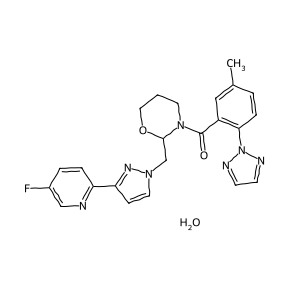 Cc1ccc(-n2nccn2)c(C(=O)N2CCCOC2Cn2ccc(-c3ccc(F)cn3)n2)c1.O